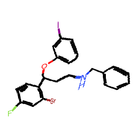 Fc1ccc(C(CCNCc2ccccc2)Oc2cccc(I)c2)c(Br)c1